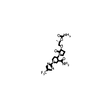 C[C@@H](CO[C@@H]1CCN(C2CCN(c3ncc(C(F)(F)F)cn3)CC2C(N)=O)C1=O)OC(N)=O